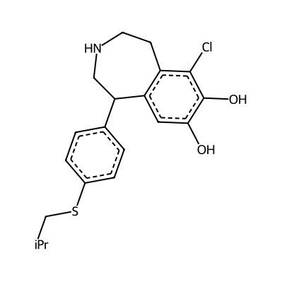 CC(C)CSc1ccc(C2CNCCc3c2cc(O)c(O)c3Cl)cc1